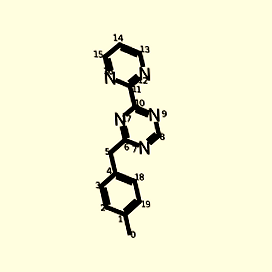 Cc1ccc(Cc2ncnc(-c3ncccn3)n2)cc1